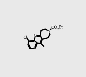 CCOC(=O)N1CCc2nc3c(Cl)cccc3c(C)c2CC1